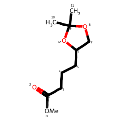 COC(=O)CCCC1COC(C)(C)O1